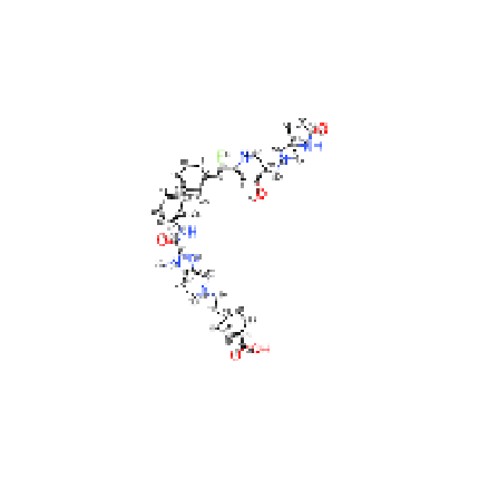 COc1cc(/C(F)=C/c2cccc(-c3cccc(NC(=O)c4nc5c(n4C)CCN(CCC46CCC(C(=O)O)(CC4)C6)C5)c3C)c2C)ncc1CN1CC2(CCC(=O)N2)C1